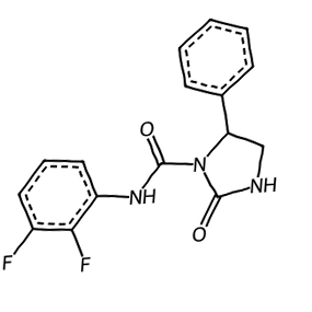 O=C1NCC(c2ccccc2)N1C(=O)Nc1cccc(F)c1F